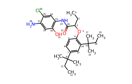 CCC(Oc1ccc(C(C)(C)CC)cc1C(C)(C)CC)C(=O)Nc1cc(Cl)c(N)cc1O